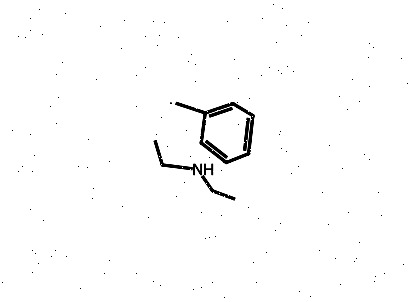 CCNCC.[CH2]c1ccccc1